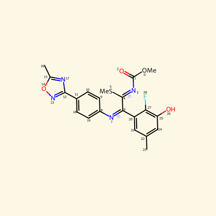 COC(=O)/N=C(SC)/C(=N\c1ccc(-c2noc(C)n2)cc1)c1cc(C)cc(O)c1F